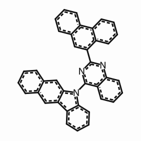 c1ccc2cc3c(cc2c1)c1ccccc1n3-c1nc(-c2cc3ccccc3c3ccccc23)nc2ccccc12